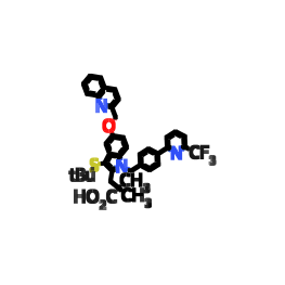 CC(C)(C)Sc1c(CC(C)(C)C(=O)O)n(Cc2ccc(-c3cccc(C(F)(F)F)n3)cc2)c2ccc(OCc3ccc4ccccc4n3)cc12